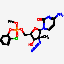 CC(C)OP(=O)(OC[C@H]1O[C@@H](n2ccc(N)nc2=O)[C@](C)(N=[N+]=[N-])[C@@H]1O)Oc1ccccc1Cl